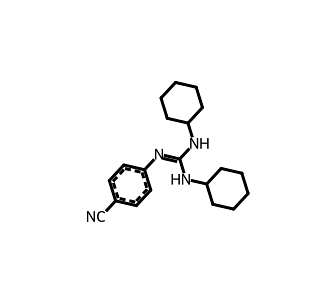 N#Cc1ccc(N=C(NC2CCCCC2)NC2CCCCC2)cc1